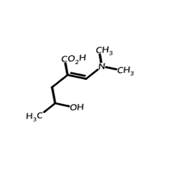 CC(O)CC(=CN(C)C)C(=O)O